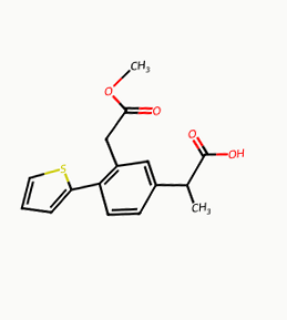 COC(=O)Cc1cc(C(C)C(=O)O)ccc1-c1cccs1